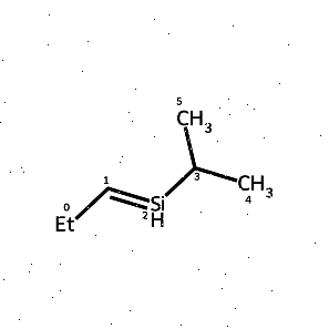 [CH2]CC=[SiH]C(C)C